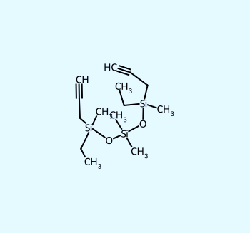 C#CC[Si](C)(CC)O[Si](C)(C)O[Si](C)(CC)CC#C